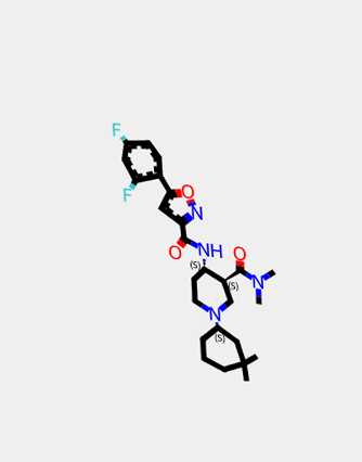 CN(C)C(=O)[C@H]1CN([C@H]2CCCC(C)(C)C2)CC[C@@H]1NC(=O)c1cc(-c2ccc(F)cc2F)on1